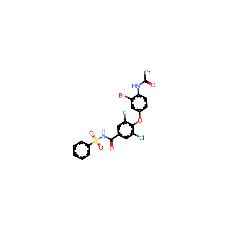 CC(C)C(=O)Nc1ccc(Oc2c(Cl)cc(C(=O)NS(=O)(=O)c3ccccc3)cc2Cl)cc1Br